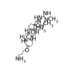 CN(C)C(=N)N/N=C/[C@@]1(O)CC[C@]2(O)[C@@H]3CC[C@@H]4C[C@@H](OCCCN)CC[C@]4(C)[C@H]3CC[C@]12C